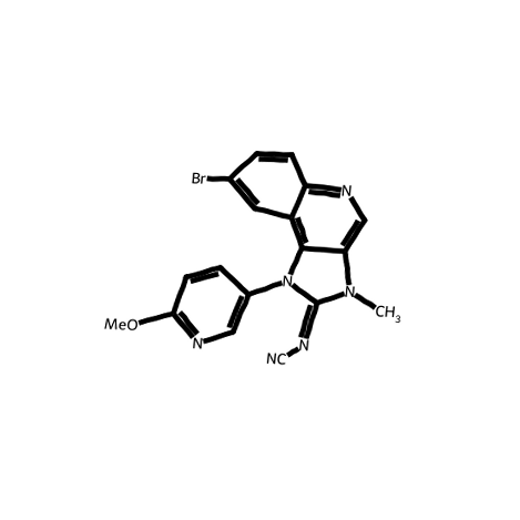 COc1ccc(-n2/c(=N\C#N)n(C)c3cnc4ccc(Br)cc4c32)cn1